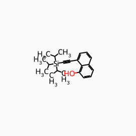 CC(C)[Si](C#Cc1cccc2cccc(O)c12)(C(C)C)C(C)C